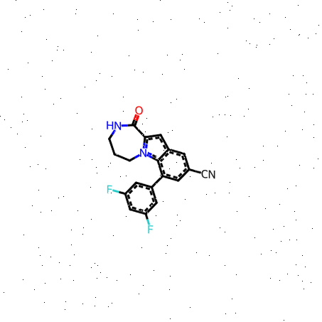 N#Cc1cc(-c2cc(F)cc(F)c2)c2c(c1)cc1n2CCCNC1=O